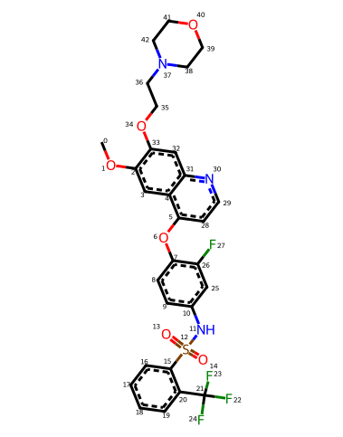 COc1cc2c(Oc3ccc(NS(=O)(=O)c4ccccc4C(F)(F)F)cc3F)ccnc2cc1OCCN1CCOCC1